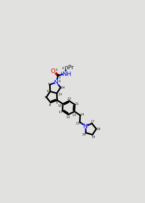 CCCNC(=O)N1CC2CC=C(c3ccc(CCN4CCCC4)cc3)C2C1